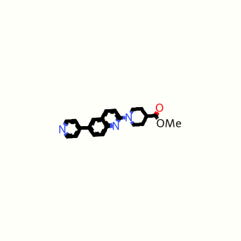 COC(=O)C1CCN(c2ccc3cc(-c4ccncc4)ccc3n2)CC1